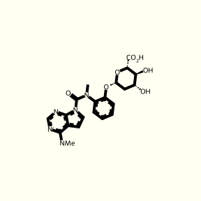 CNc1ncnc2c1ccn2C(=O)N(C)c1ccccc1O[C@H]1C[C@@H](O)[C@H](O)[C@@H](C(=O)O)O1